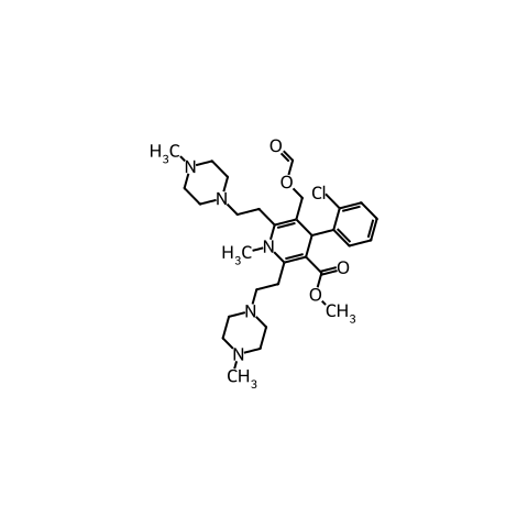 COC(=O)C1=C(CCN2CCN(C)CC2)N(C)C(CCN2CCN(C)CC2)=C(COC=O)C1c1ccccc1Cl